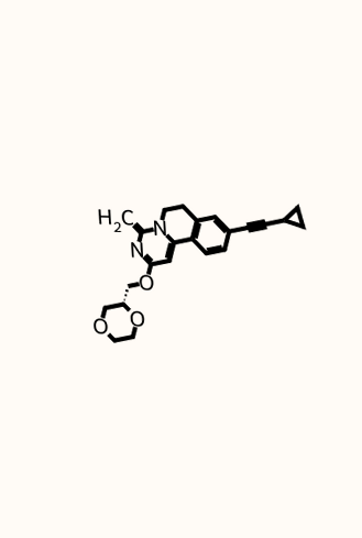 C=C1N=C(OC[C@H]2COCCO2)C=C2c3ccc(C#CC4CC4)cc3CCN12